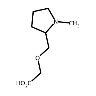 CN1CCCC1COCC(=O)O